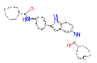 O=C(Nc1ccc(-c2cc3cc(NC(=O)C4CCCCCC4)ccc3[nH]2)cc1)C1CCCCCC1